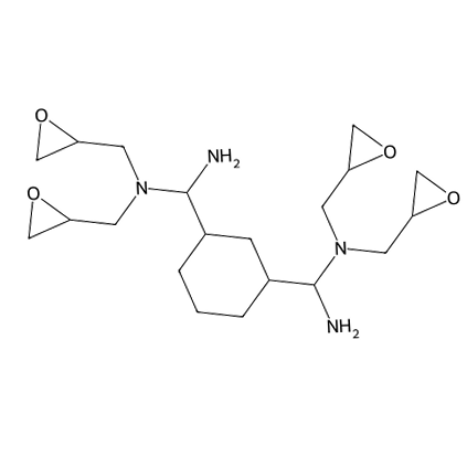 NC(C1CCCC(C(N)N(CC2CO2)CC2CO2)C1)N(CC1CO1)CC1CO1